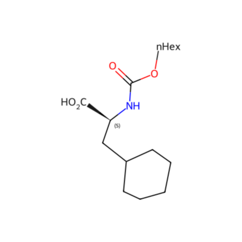 CCCCCCOC(=O)N[C@@H](CC1CCCCC1)C(=O)O